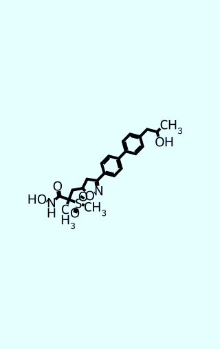 CC(O)Cc1ccc(-c2ccc(C3=NOC(CC(C)(C(=O)NO)S(C)(=O)=O)C3)cc2)cc1